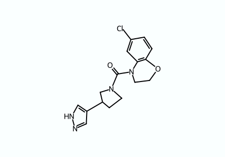 O=C(N1CCC(c2cn[nH]c2)C1)N1CCOc2ccc(Cl)cc21